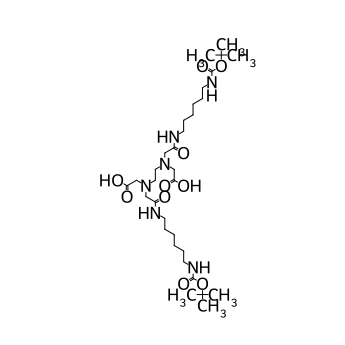 CC(C)(C)OC(=O)NCCCCCCNC(=O)CN(CCN(CC(=O)O)CC(=O)NCCCCCCNC(=O)OC(C)(C)C)CC(=O)O